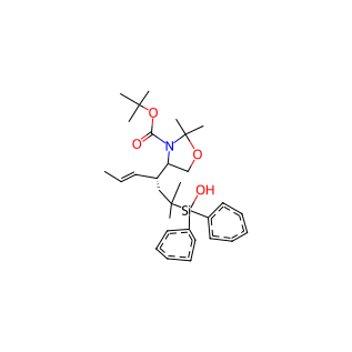 C/C=C/[C@@H](CC(C)(C)[Si](O)(c1ccccc1)c1ccccc1)C1COC(C)(C)N1C(=O)OC(C)(C)C